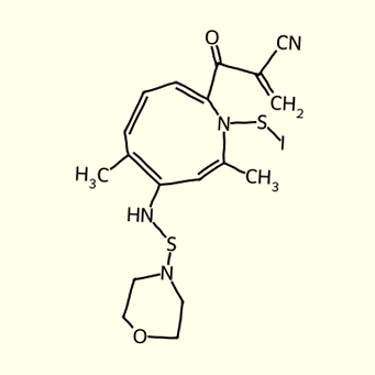 C=C(C#N)C(=O)c1cccc(C)c(NSN2CCOCC2)cc(C)n1SI